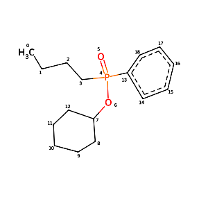 CCCCP(=O)(OC1CCCCC1)c1ccccc1